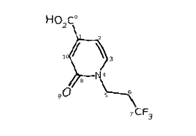 O=C(O)c1ccn(CCC(F)(F)F)c(=O)c1